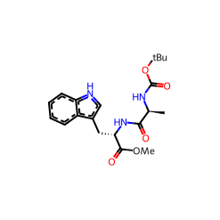 COC(=O)[C@H](Cc1c[nH]c2ccccc12)NC(=O)[C@H](C)NC(=O)OC(C)(C)C